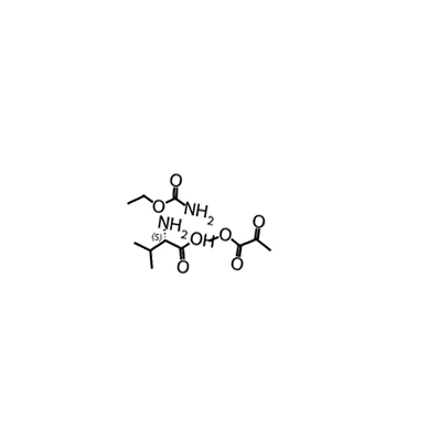 CC(C)[C@H](N)C(=O)O.CCOC(N)=O.COC(=O)C(C)=O